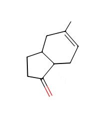 CC1=CC[C@@]2(C)C(=O)CC[C@H]2C1